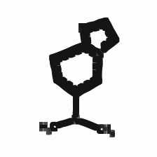 CN(C)c1ccc2nccn2c1